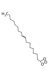 CCCCCCCC/C=C/CCCCCCCC1OOO1